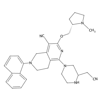 CN1CCC[C@H]1COc1nc(N2CCNC(CC#N)C2)c2c(c1C#N)CN(c1cccc3ccccc13)CC2